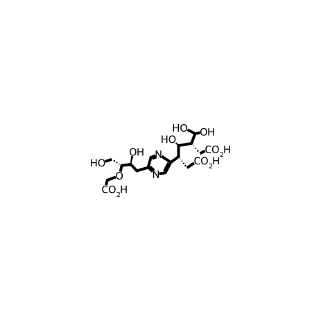 O=C(O)CO[C@H](CO)[C@@H](O)Cc1cnc([C@@H](CC(=O)O)[C@H](O)[C@@H](CC(=O)O)C(O)O)cn1